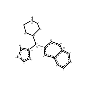 c1ccc2cc([C@@H](C3CCNCC3)n3ncnn3)ccc2c1